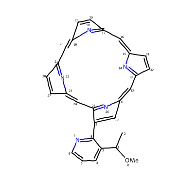 COC(C)c1cccnc1C1=CC2=CC3=NC(=CC4=NC(=CC5=NC(=CC1=N2)C=C5)C=C4)C=C3